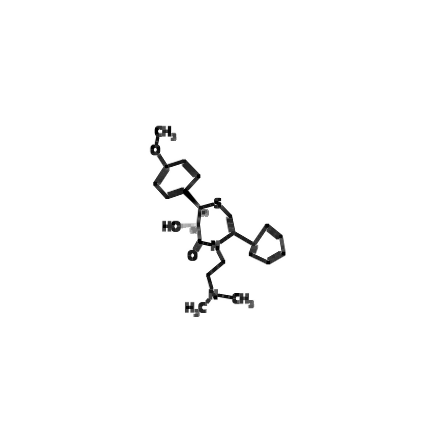 COc1ccc([C@H]2SC=C(c3ccccc3)N(CCN(C)C)C(=O)[C@@H]2O)cc1